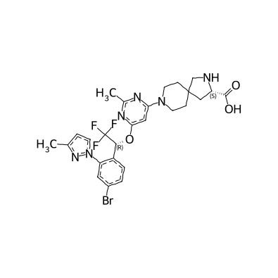 Cc1ccn(-c2cc(Br)ccc2[C@@H](Oc2cc(N3CCC4(CC3)CN[C@H](C(=O)O)C4)nc(C)n2)C(F)(F)F)n1